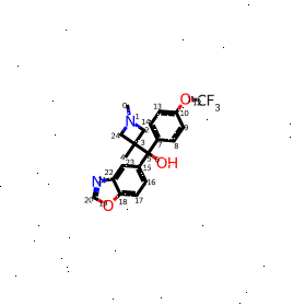 CN1CC(C)(C(O)(c2ccc(OC(F)(F)F)cc2)c2ccc3ocnc3c2)C1